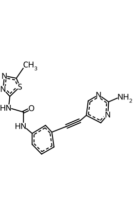 Cc1nnc(NC(=O)Nc2cccc(C#Cc3cnc(N)nc3)c2)s1